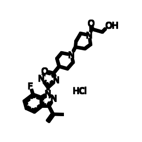 C=C(C)c1nn(-c2noc(C3CCN(C4CCN(C(=O)CO)CC4)CC3)n2)c2c(F)cccc12.Cl